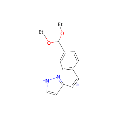 CCOC(OCC)c1ccc(/C=C\c2cc[nH]n2)cc1